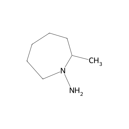 CC1CCCCCN1N